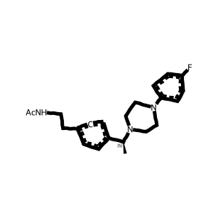 CC(=O)NCCc1ccc([C@H](C)N2CCN(c3ccc(F)cc3)CC2)cc1